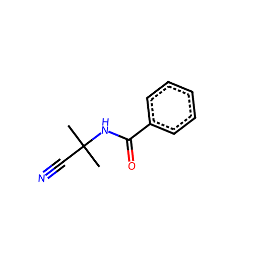 CC(C)(C#N)NC(=O)c1ccccc1